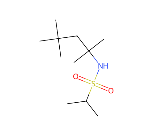 CC(C)S(=O)(=O)NC(C)(C)CC(C)(C)C